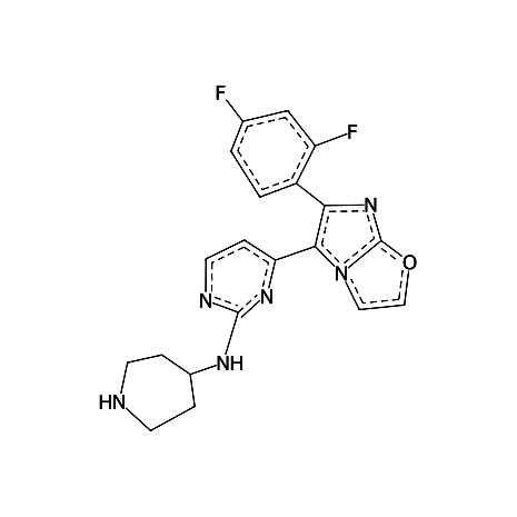 Fc1ccc(-c2nc3occn3c2-c2ccnc(NC3CCNCC3)n2)c(F)c1